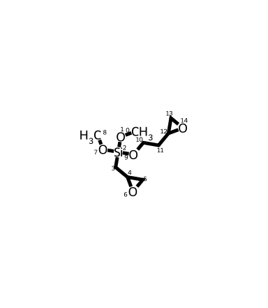 CO[Si](CC1CO1)(OC)OCCC1CO1